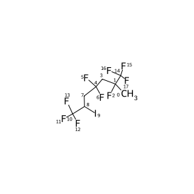 CC(F)(CC(F)(F)CC(I)C(F)(F)F)C(F)(F)F